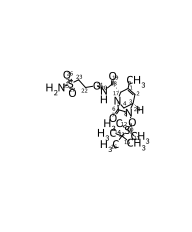 CC1=C[C@@H]2CN(C(=O)N2O[Si](C)(C)C(C)(C)C)[C@@H]1C(=O)NOCCS(N)(=O)=O